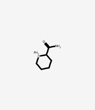 NC(=O)C1CCCCO1.P